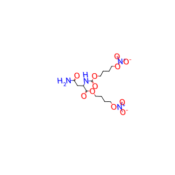 NC(=O)CC(NC(=O)OCCCCO[N+](=O)[O-])C(=O)OCCCCO[N+](=O)[O-]